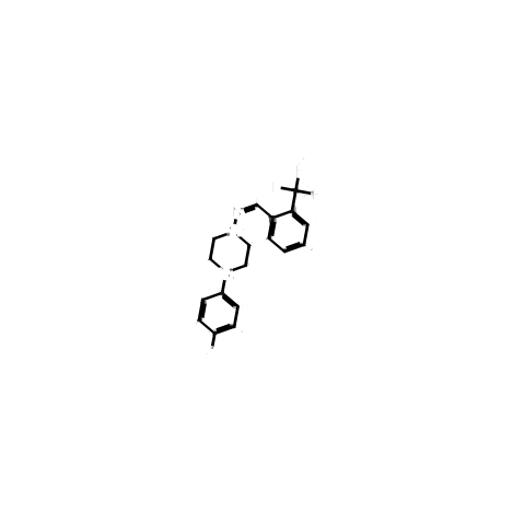 Cc1ccc(N2CCN(/N=C\c3ccccc3C(F)(F)F)CC2)cc1